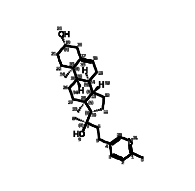 Cc1ccc(CC[C@@](C)(O)[C@H]2CC[C@H]3[C@@H]4CC=C5C[C@@H](O)CC[C@]5(C)[C@H]4CC[C@@]32C)cn1